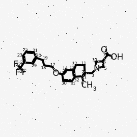 CC1=C(CN2CC(C(=O)O)C2)CCc2cc(OCCCc3cccc(C(F)(F)F)c3)ccc21